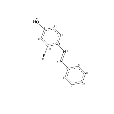 Oc1ccc(N=Nc2ccccc2)c(F)c1